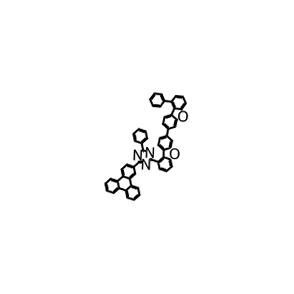 c1ccc(-c2nc(-c3ccc4c5ccccc5c5ccccc5c4c3)nc(-c3cccc4oc5cc(-c6ccc7c(c6)oc6cccc(-c8ccccc8)c67)ccc5c34)n2)cc1